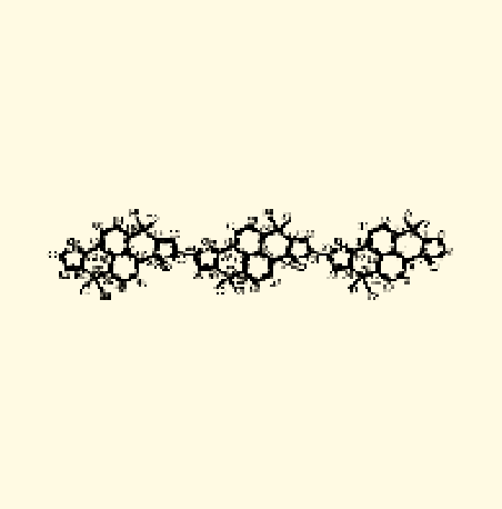 CC1(C)c2ccsc2-c2ccc3c4c(ccc1c24)-c1sc(-c2cc4c(s2)-c2ccc5c6c(ccc(c26)C4(C)C)-c2sc(-c4cc6c(s4)-c4ccc7c8c(ccc(c48)C6(C)C)-c4sccc4C7(C)C)cc2C5(C)C)cc1C3(C)C